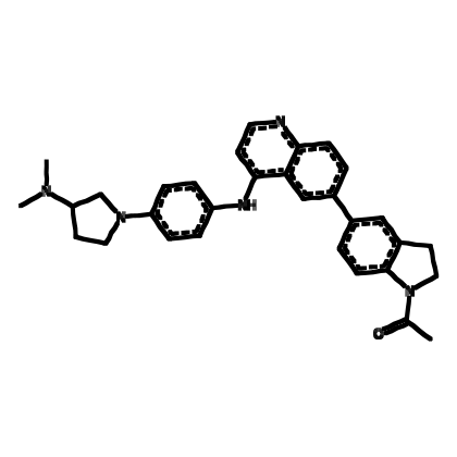 CC(=O)N1CCc2cc(-c3ccc4nccc(Nc5ccc(N6CCC(N(C)C)C6)cc5)c4c3)ccc21